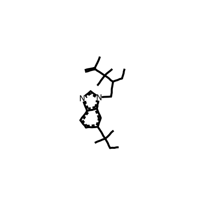 C=C(C)C(C)(C)C(CC)Cn1cnc2ccc(C(C)(C)CC)cc21